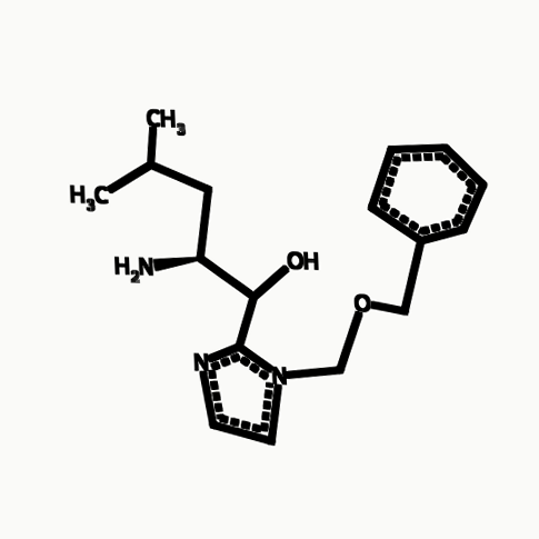 CC(C)C[C@H](N)C(O)c1nccn1COCc1ccccc1